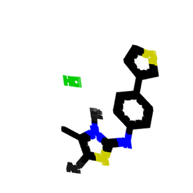 CCn1c(C)c(C(C)=O)sc1=Nc1ccc(-c2ccsc2)cc1.Cl